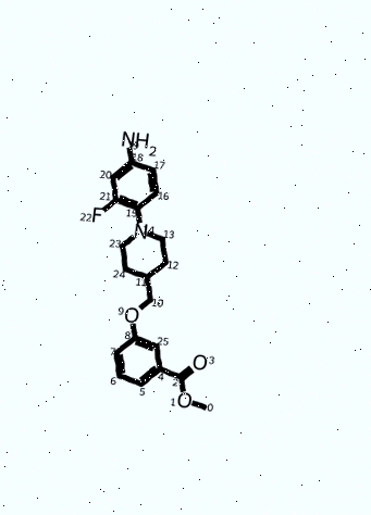 COC(=O)c1cccc(OCC2CCN(c3ccc(N)cc3F)CC2)c1